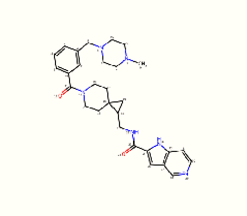 CN1CCN(Cc2cccc(C(=O)N3CCC4(CC3)CC4CNC(=O)c3cc4cnccc4[nH]3)c2)CC1